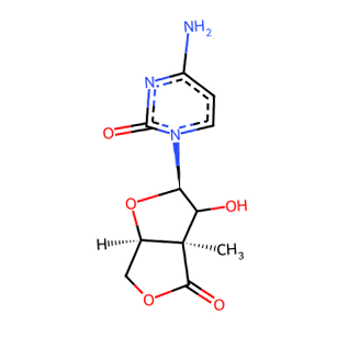 C[C@]12C(=O)OC[C@H]1O[C@@H](n1ccc(N)nc1=O)C2O